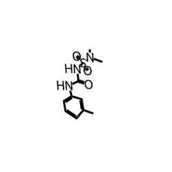 Cc1cccc(NC(=O)NS(=O)(=O)N(C)C)c1